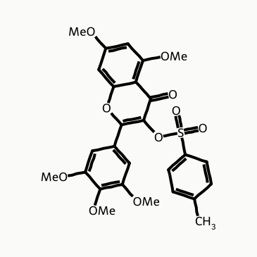 COc1cc(OC)c2c(=O)c(OS(=O)(=O)c3ccc(C)cc3)c(-c3cc(OC)c(OC)c(OC)c3)oc2c1